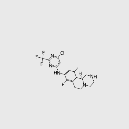 CC1C=C(Nc2cc(Cl)nc(C(F)(F)F)n2)C(F)=C2CCN3CCNC[C@@H]3C21